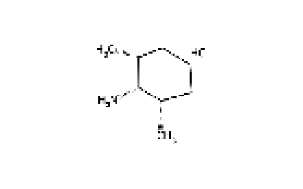 C[C@@H]1CCC[C@H](C)[C@@H]1N.Cl